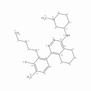 CCOCOc1c(-c2nnc(NC3CCCN(C)C3)c3c2CCCC3)ccc(C)c1F